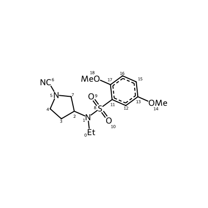 CCN(C1CCN(C#N)C1)S(=O)(=O)c1cc(OC)ccc1OC